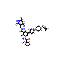 CCC1(C(=O)Nc2cc(-c3ccc(N4CCN(CC5CC5)CC4)nc3)cc(C(=O)NCc3c(C)cc(C)[nH]c3=O)c2C)CCCC1